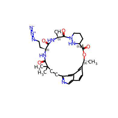 C[C@@H]1NC(=O)[C@H](CCN=[N+]=[N-])NC(=O)C(C)(C)CCc2cc3cc(ccc3cn2)[C@@H](C)OC(=O)[C@@H]2CCCN(N2)C1=O